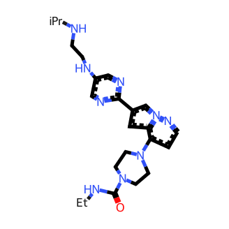 CCNC(=O)N1CCN(c2ccnn3cc(-c4ncc(NCCNC(C)C)cn4)cc23)CC1